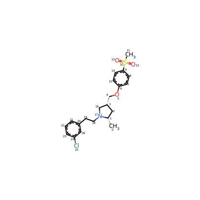 C[C@H]1C[C@@H](COc2ccc(S(C)(=O)=O)cc2)CN1CCc1cccc(Cl)c1